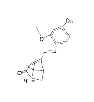 COc1cc(O)ccc1C=CC1=CC(=O)[C@@H]2CC1C2(C)C